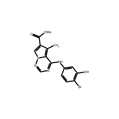 COC(=O)c1cn2ncnc(Nc3ccc(Br)c(O)c3)c2c1C